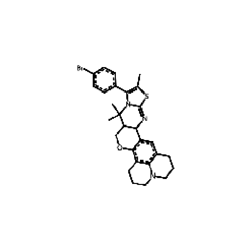 CC1=C(c2ccc(Br)cc2)N2C(=NC3c4cc5c6c(c4OCC3C2(C)C)CCCN6CCC5)S1